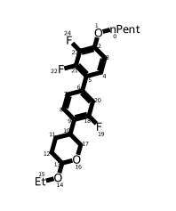 CCCCCOc1ccc(-c2ccc(C3CCC(OCC)OC3)c(F)c2)c(F)c1F